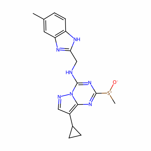 Cc1ccc2[nH]c(CNc3nc([S+](C)[O-])nc4c(C5CC5)cnn34)nc2c1